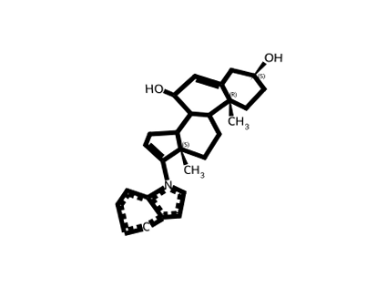 C[C@]12CC[C@H](O)CC1=CC(O)C1C2CC[C@]2(C)C(n3ccc4ccccc43)=CCC12